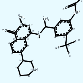 CC(=O)Nc1cc(C(C)Nc2nn(C)c(=O)c3ccc(C4CCCNC4)cc23)cc(C(F)(F)F)c1